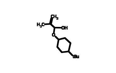 C=C(C)C(O)OC1CCC(C(C)(C)C)CC1